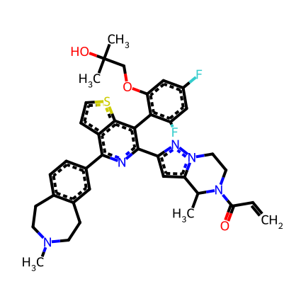 C=CC(=O)N1CCn2nc(-c3nc(-c4ccc5c(c4)CCN(C)CC5)c4ccsc4c3-c3c(F)cc(F)cc3OCC(C)(C)O)cc2C1C